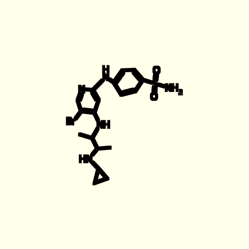 CC(Nc1cc(Nc2ccc(S(N)(=O)=O)cc2)ncc1Br)C(C)NC1CC1